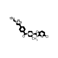 C[C@H]1CN(C(=O)c2ccc(-c3cn(CC(C)(C)C)nn3)cc2)CCN1c1nc2nc(Cl)ccc2o1